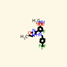 CNS(=O)(=O)c1cc(F)c(NCc2ccc(C(F)(F)F)cc2)c(-c2cn3c(n2)O[C@H](C)C3)c1